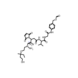 CCC(C)(CCO)OCCN(N)/C=C(\N)C(CC(=O)NC(C(=O)NCC(=O)Nc1ccc(COC=O)cc1)C(C)C)N1C(=O)C=CC1=O